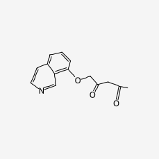 CC(=O)CC(=O)COc1cccc2ccncc12